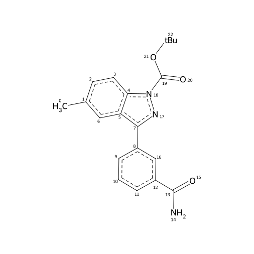 Cc1ccc2c(c1)c(-c1cccc(C(N)=O)c1)nn2C(=O)OC(C)(C)C